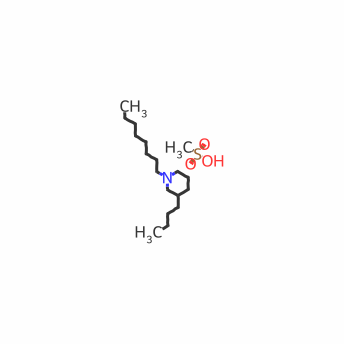 CCCCCCCCN1CCCC(CCCC)C1.CS(=O)(=O)O